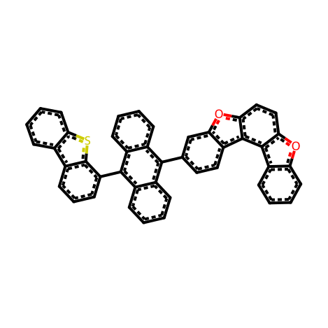 c1ccc2c(c1)oc1ccc3oc4cc(-c5c6ccccc6c(-c6cccc7c6sc6ccccc67)c6ccccc56)ccc4c3c12